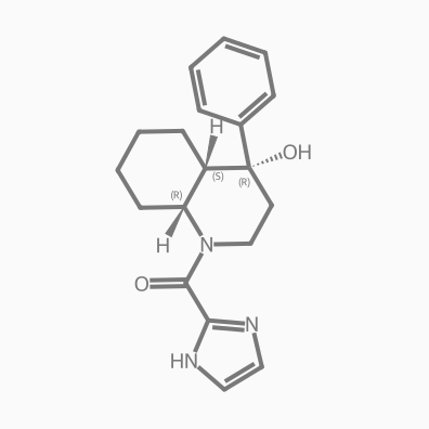 O=C(c1ncc[nH]1)N1CC[C@](O)(c2ccccc2)[C@H]2CCCC[C@H]21